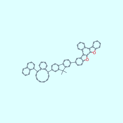 CC1(C)c2cc(-c3ccc4oc5c6oc7ccccc7c6c6ccccc6c5c4c3)ccc2-c2ccc(-c3ccccccc(-c4cccc5ccccc45)c4ccccc34)cc21